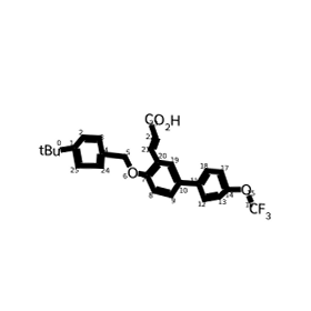 CC(C)(C)c1ccc(COc2ccc(-c3ccc(OC(F)(F)F)cc3)cc2C=CC(=O)O)cc1